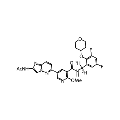 [2H]C([2H])(NC(=O)c1cc(-c2ccc3nc(NC(C)=O)cn3n2)cnc1OC)c1cc(F)cc(F)c1OC1CCOCC1